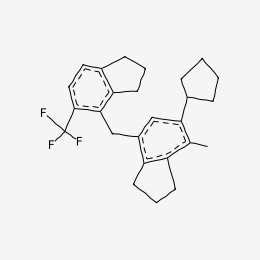 Cc1c(C2CCCC2)cc(Cc2c(C(F)(F)F)ccc3c2CCC3)c2c1CCC2